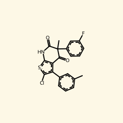 Cc1cccc(-c2c(Cl)sc3c2C(=O)C(C)(c2cccc(F)c2)C(=O)N3)c1